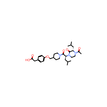 CC(=O)N1CCN([C@@H](CC(C)C)C(=O)N2CCC(COc3ccc(CC(=O)O)cc3)CC2)C(=O)[C@@H]1CC(C)C